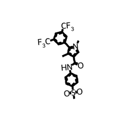 Cc1c(C(=O)Nc2ccc(S(C)(=O)=O)cc2)cn(C)c1-c1cc(C(F)(F)F)cc(C(F)(F)F)c1